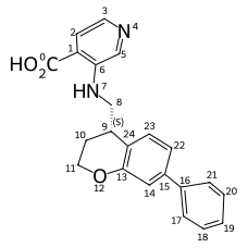 O=C(O)c1ccncc1NC[C@H]1CCOc2cc(-c3ccccc3)ccc21